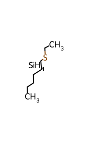 CCCCCCSCC.[SiH4]